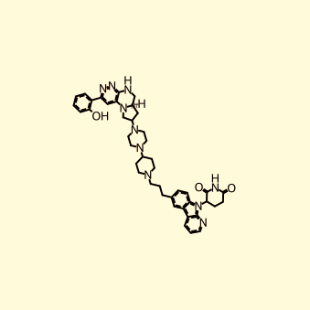 O=C1CCC(n2c3ccc(CCCN4CCC(N5CCN(C6C[C@@H]7CNc8nnc(-c9ccccc9O)cc8N7C6)CC5)CC4)cc3c3cccnc32)C(=O)N1